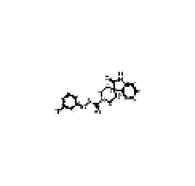 O=C(COc1cccc(Cl)c1)N1CCC2(CC1)C(=O)Nc1ccccc12